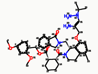 COc1ccc(COC(=O)[C@H]2CCCC[C@H]2C(=O)N2CCc3c(C)ccc(OC/C(N)=C/N(N)C(C)C)c3[C@H]2CN2Cc3ccccc3C2=O)c(OC)c1